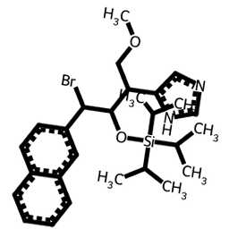 COCC(c1cnc[nH]1)C(O[Si](C(C)C)(C(C)C)C(C)C)C(Br)c1ccc2ccccc2c1